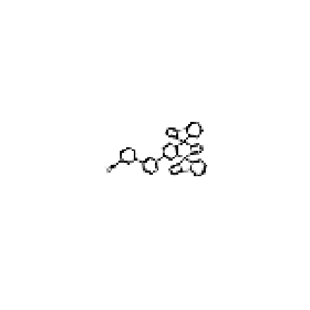 N#Cc1cccc(-c2cccc(-c3ccc4c(c3)C3(c5ccccc5-c5ccccc53)c3ccccc3C43c4ccccc4-c4ccccc43)c2)c1